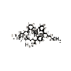 CCCCCC(CC)c1ccccc1OP(=O)(Oc1ccccc1C(CC)CCCCC)Oc1ccccc1C(CC)CCCCC